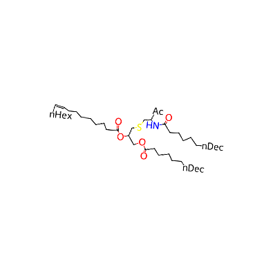 CCCCCC/C=C\CCCCCCCC(=O)OC(COC(=O)CCCCCCCCCCCCCCC)CSCC(NC(=O)CCCCCCCCCCCCCCC)C(C)=O